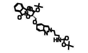 CC(C)(C)OC(=O)NCCCn1cc2cc(OC[C@H](ON3C(=O)c4ccccc4C3=O)C(=O)OC(C)(C)C)ccc2n1